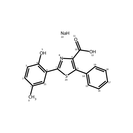 Cc1ccc(O)c(-c2nc(C(=O)O)c(-c3ccccc3)s2)c1.[NaH]